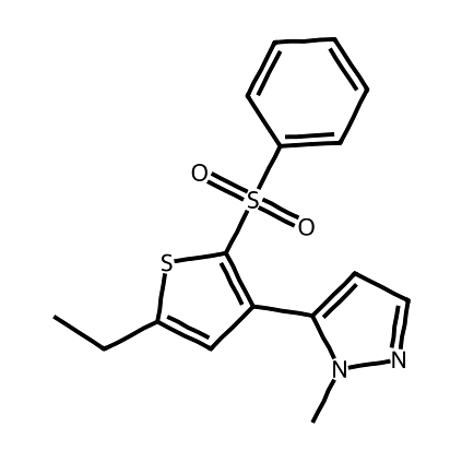 CCc1cc(-c2ccnn2C)c(S(=O)(=O)c2ccccc2)s1